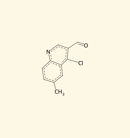 Cc1ccc2ncc(C=O)c(Cl)c2c1